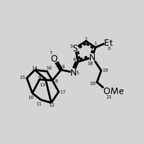 CCc1csc(=NC(=O)C23CC4CC(CC(C4)C2)C3)n1CCOC